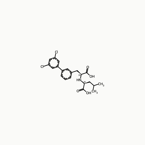 CC(C)C[C@H](N[C@@H](Cc1cccc(-c2cc(Cl)cc(Cl)c2)c1)C(=O)O)C(=O)O